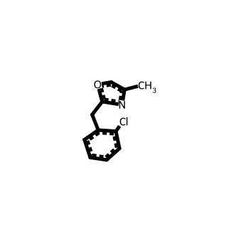 Cc1coc(Cc2ccccc2Cl)n1